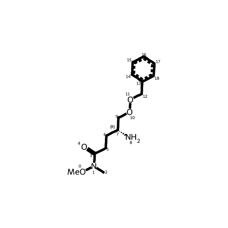 CON(C)C(=O)CC[C@@H](N)COOCc1ccccc1